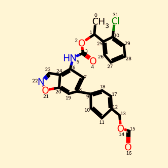 CC(OC(=O)Nc1cc(-c2ccc(COC=O)cc2)cc2oncc12)c1ccccc1Cl